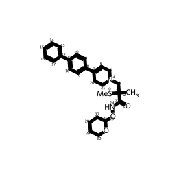 CSC(C)(CN1CC=C(c2ccc(-c3ccccc3)cc2)CC1)C(=O)NOC1CCCCO1